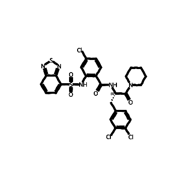 O=C(N[C@@H](Cc1ccc(Cl)c(Cl)c1)C(=O)N1CCCCC1)c1ccc(Cl)cc1NS(=O)(=O)c1cccc2nsnc12